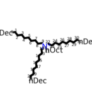 CCCCCCCCCCCCCCCCCCC[N+](CCCCCCCC)(CCCCCCCCCCCCCCCCCCC)CCCCCCCCCCCCCCCCCCC